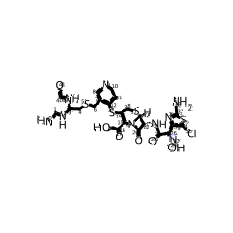 N=CNC(CSCc1cnccc1SC1=C(C(=O)O)N2C(=O)[C@@H](NC(=O)/C(=N\O)c3nc(N)sc3Cl)[C@@H]2SC1)NC=O